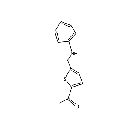 CC(=O)c1ccc(CNc2ccccc2)s1